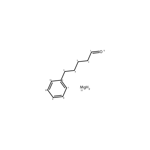 O=CCCCCc1ccccc1.[MgH2]